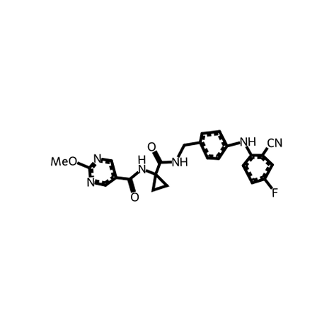 COc1ncc(C(=O)NC2(C(=O)NCc3ccc(Nc4ccc(F)cc4C#N)cc3)CC2)cn1